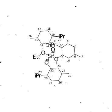 CCO[Si](OC1CC(C)CCC1C(C)C)(OC1CC(C)CCC1C(C)C)OC1CC(C)CCC1C(C)C